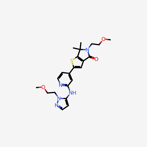 COCCN1C(=O)c2cc(-c3ccnc(Nc4ccnn4CCOC)c3)sc2C1(C)C